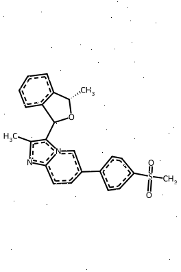 Cc1nc2ccc(-c3ccc(S(C)(=O)=O)cc3)cn2c1C1O[C@@H](C)c2ccccc21